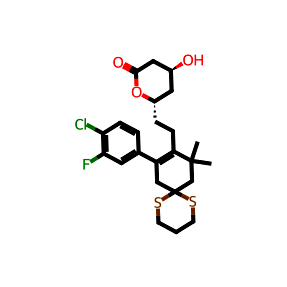 CC1(C)CC2(CC(c3ccc(Cl)c(F)c3)=C1CC[C@H]1C[C@H](O)CC(=O)O1)SCCCS2